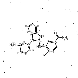 Cc1ccc(C(N)=O)cc1Nc1nc2ccccc2n1-c1cc(N)ncn1